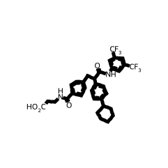 O=C(O)CCNC(=O)c1ccc(CC(C(=O)Nc2cc(C(F)(F)F)cc(C(F)(F)F)c2)c2ccc(C3CCCCC3)cc2)cc1